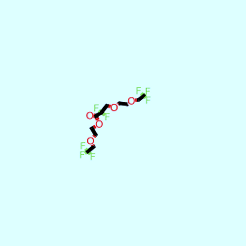 O=C(OCCOCC(F)(F)F)C(F)(F)COCCOCC(F)(F)F